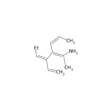 C=CC(=C/CC)/C(/C=C\C)=C(\C)N